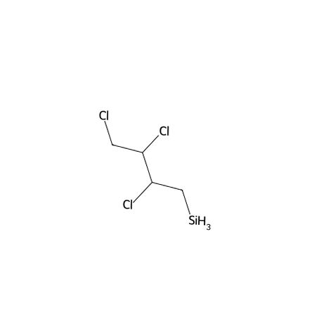 [SiH3]CC(Cl)C(Cl)CCl